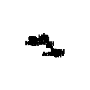 CC(=O)NC1C(OCCCCCC(=O)NCCCCC(NC(=O)CCCCCOC2OC(CO)C(O)C(O)C2NC(C)=O)C(=O)NI)OC(CO)C(O)C1O